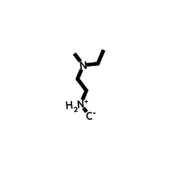 [CH2-][NH2+]CCN(C)CC